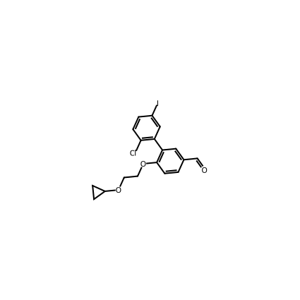 O=Cc1ccc(OCCOC2CC2)c(-c2cc(I)ccc2Cl)c1